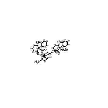 CC12CC3CC(C)(C1)CC(N)(C3)C2.CNC1(c2ccccc2Cl)CCCCC1=O.CN[C@@]1(c2ccccc2Cl)CCCCC1=O